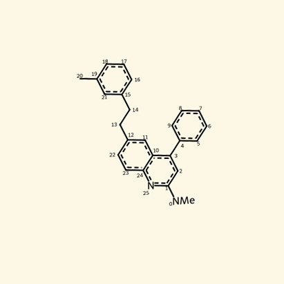 CNc1cc(-c2ccccc2)c2cc(CCc3cccc(C)c3)ccc2n1